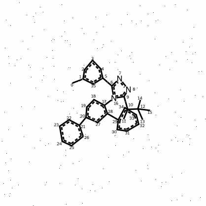 Cc1cccc(-c2nnc(C(C)C(C)(C)C)n2-c2ccc(-c3ccccc3)cc2-c2ccccc2)c1